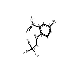 O=[N+]([O-])c1cc(Br)ccc1OCC(F)(F)F